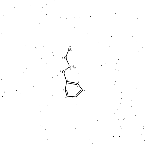 CCO[SiH2]Oc1ccccc1